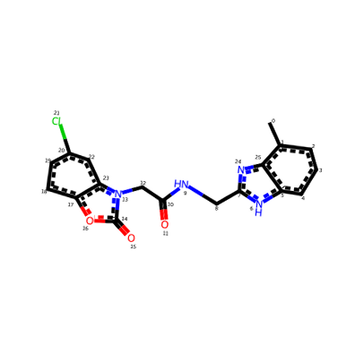 Cc1cccc2[nH]c(CNC(=O)Cn3c(=O)oc4ccc(Cl)cc43)nc12